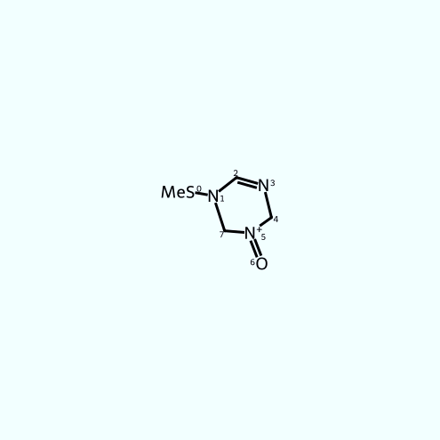 CSN1C=NC[N+](=O)C1